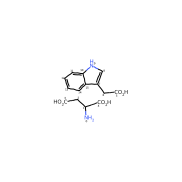 NC(CC(=O)O)C(=O)O.O=C(O)Cc1c[nH]c2ccccc12